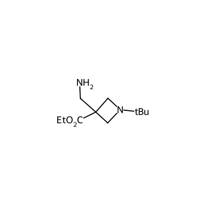 CCOC(=O)C1(CN)CN(C(C)(C)C)C1